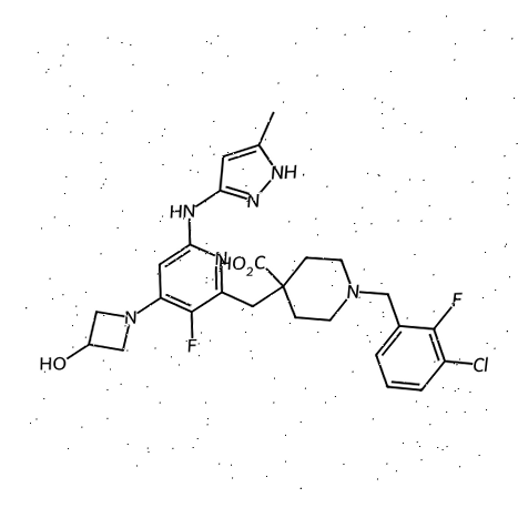 Cc1cc(Nc2cc(N3CC(O)C3)c(F)c(CC3(C(=O)O)CCN(Cc4cccc(Cl)c4F)CC3)n2)n[nH]1